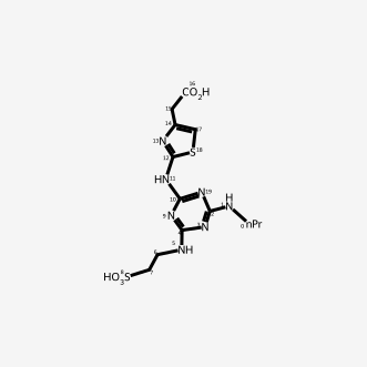 CCCNc1nc(NCCS(=O)(=O)O)nc(Nc2nc(CC(=O)O)cs2)n1